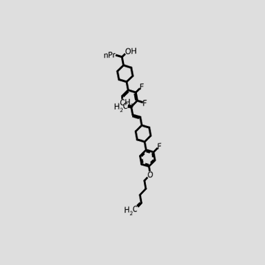 C=CCCCOc1ccc(C2CCC(/C=C/C(=C)/C(F)=C(F)\C(=C/C)C3CCC(C(O)CCC)CC3)CC2)c(F)c1